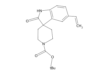 C=Cc1ccc2c(c1)C1(CCN(C(=O)OC(C)(C)C)CC1)C(=O)N2